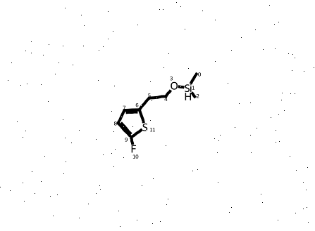 C[SiH](C)OCCc1ccc(F)s1